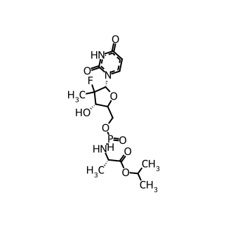 CC(C)OC(=O)[C@H](C)N[PH](=O)OCC1O[C@@H](n2ccc(=O)[nH]c2=O)C(C)(F)[C@H]1O